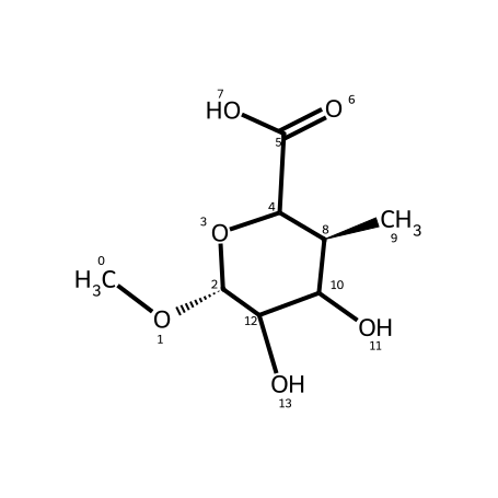 CO[C@@H]1OC(C(=O)O)[C@@H](C)C(O)C1O